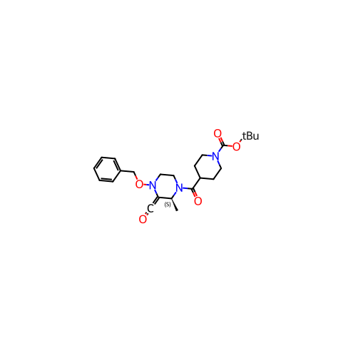 C[C@H]1C(=C=O)N(OCc2ccccc2)CCN1C(=O)C1CCN(C(=O)OC(C)(C)C)CC1